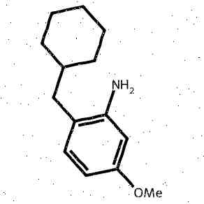 COc1ccc(CC2CCCCC2)c(N)c1